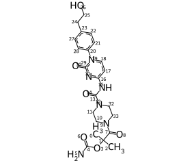 CC(C)(OC(N)=O)C(=O)N1CCN(C(=O)Nc2ccn(-c3ccc(CCO)cc3)c(=O)n2)CC1